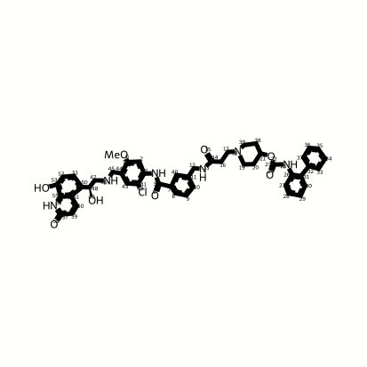 COc1cc(NC(=O)c2cccc(CNC(=O)CCN3CCC(OC(=O)Nc4ccccc4-c4ccccc4)CC3)c2)c(Cl)cc1CNC[C@@H](O)c1ccc(O)c2[nH]c(=O)ccc12